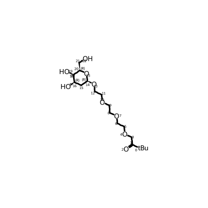 CC(C)(C)C(=O)COCCOCCOCCO[C@H]1C[C@@H](O)[C@@H](O)[C@@H](CO)O1